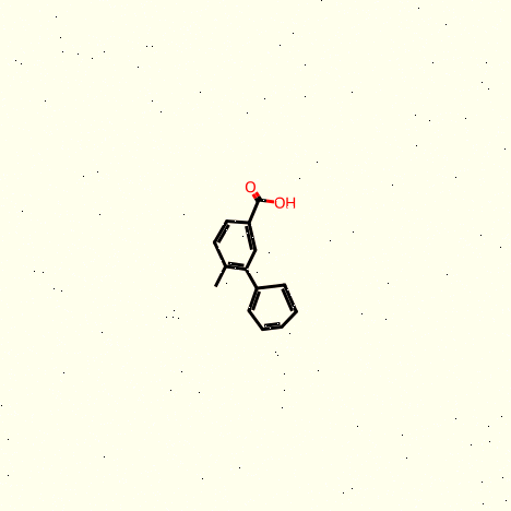 Cc1ccc(C(=O)O)cc1-c1ccccc1